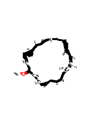 O=C1CC=CCCCCCCCCCCCCCC1